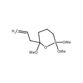 C=CCC1(OC)CCC[Si](OC)(OC)O1